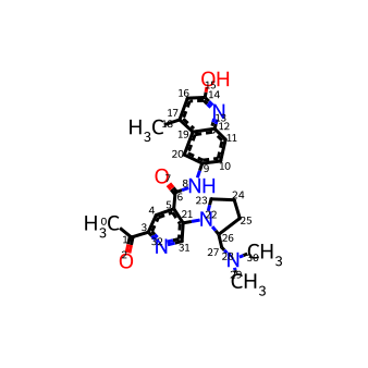 CC(=O)c1cc(C(=O)Nc2ccc3nc(O)cc(C)c3c2)c(N2CCCC2CN(C)C)cn1